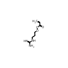 C=CC(=O)OOCCCNC(=N)N